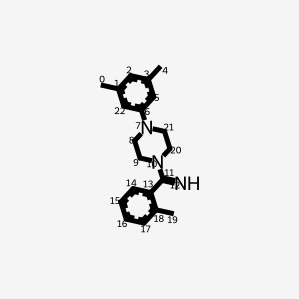 Cc1cc(C)cc(N2CCN(C(=N)c3ccccc3C)CC2)c1